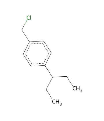 CCC(CC)c1ccc(CCl)cc1